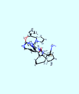 C[C@H](Oc1nccc(-c2onc3c2CCC[C@@]32CCCc3sc(N)c(C#N)c32)n1)[C@@H]1CCCN1C